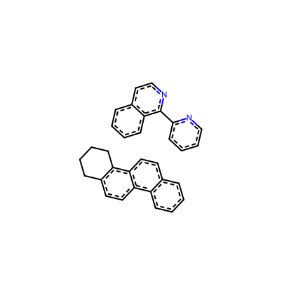 c1ccc(-c2nccc3ccccc23)nc1.c1ccc2c(c1)ccc1c3c(ccc12)CCCC3